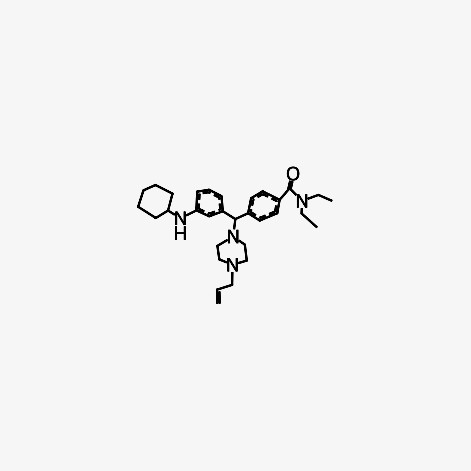 C=CCN1CCN(C(c2ccc(C(=O)N(CC)CC)cc2)c2cccc(NC3CCCCC3)c2)CC1